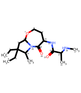 CCC1(CC)CC2OCCC(NC(=O)C(C)NC)C(=O)N2C1C